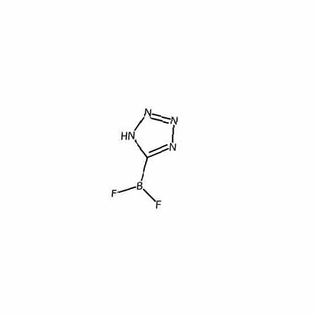 FB(F)c1nnn[nH]1